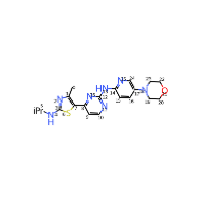 Cc1nc(NC(C)C)sc1-c1ccnc(Nc2ccc(N3CCOCC3)cn2)n1